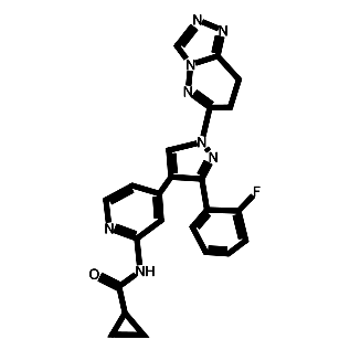 O=C(Nc1cc(-c2cn(C3=Nn4cnnc4CC3)nc2-c2ccccc2F)ccn1)C1CC1